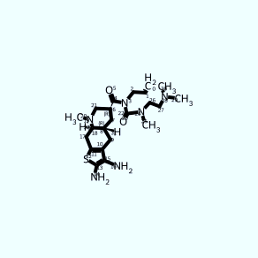 C=CCN(C(=O)[C@@H]1C[C@@H]2Cc3c(sc(N)c3N)C[C@H]2N(C)C1)C(=O)N(C)CCN(C)C